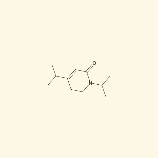 CC(C)C1=CC(=O)N(C(C)C)CC1